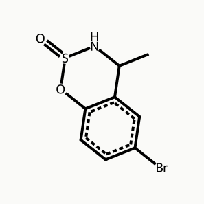 CC1NS(=O)Oc2ccc(Br)cc21